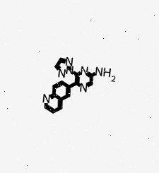 Nc1cnc(-c2ccc3ncccc3c2)c(-n2nccn2)n1